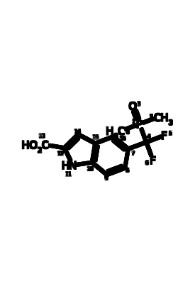 CP(C)(=O)C(F)(F)c1ccc2[nH]c(C(=O)O)cc2c1